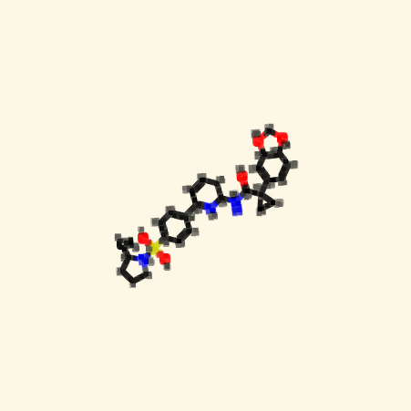 CC1CCCN1S(=O)(=O)c1ccc(C2=NC(NC(=O)C3(c4ccc5c(c4)OCO5)CC3)CC=C2)cc1